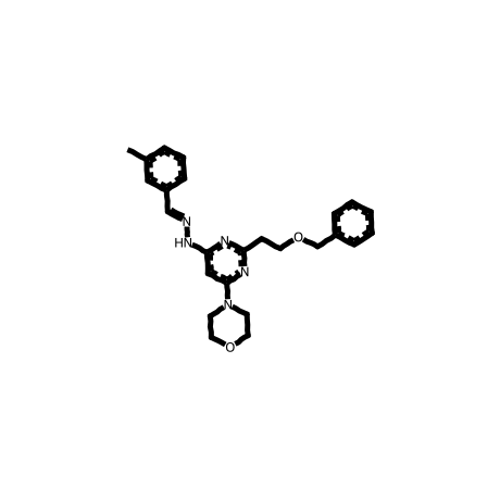 Cc1cccc(/C=N/Nc2cc(N3CCOCC3)nc(CCOCc3ccccc3)n2)c1